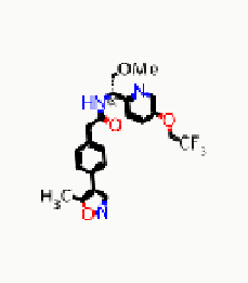 COC[C@@H](NC(=O)Cc1ccc(-c2cnoc2C)cc1)c1ccc(OCC(F)(F)F)cn1